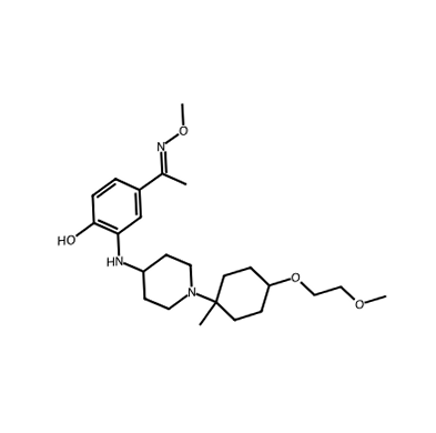 COCCOC1CCC(C)(N2CCC(Nc3cc(C(C)=NOC)ccc3O)CC2)CC1